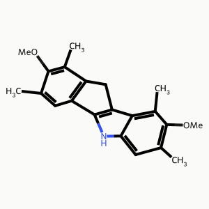 COc1c(C)cc2c(c1C)Cc1c-2[nH]c2cc(C)c(OC)c(C)c12